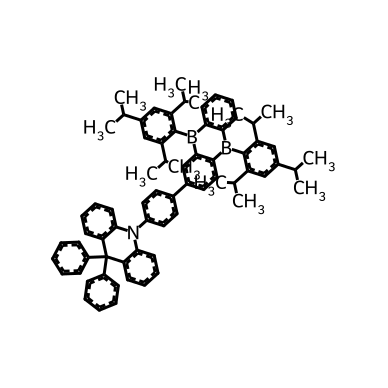 CC(C)c1cc(C(C)C)c(B2c3ccccc3B(c3c(C(C)C)cc(C(C)C)cc3C(C)C)c3cc(-c4ccc(N5c6ccccc6C(c6ccccc6)(c6ccccc6)c6ccccc65)cc4)ccc32)c(C(C)C)c1